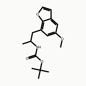 COc1cc(CC(C)NC(=O)OC(C)(C)C)c2occc2c1